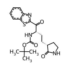 CC(C)(C)OC(=O)N[C@@H](CC[C@@H]1CCNC1=O)C(=O)c1nc2ccccc2s1